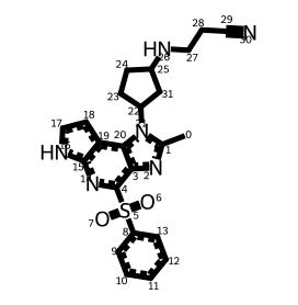 Cc1nc2c(S(=O)(=O)c3ccccc3)nc3[nH]ccc3c2n1C1CCC(NCCC#N)C1